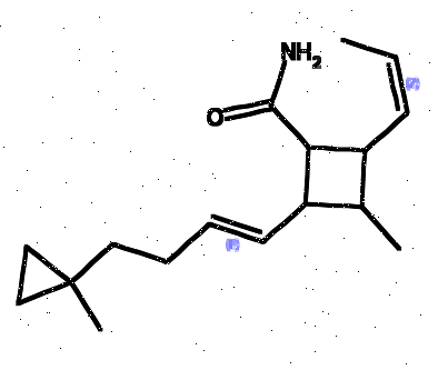 C/C=C\C1C(C)C(/C=C/CCC2(C)CC2)C1C(N)=O